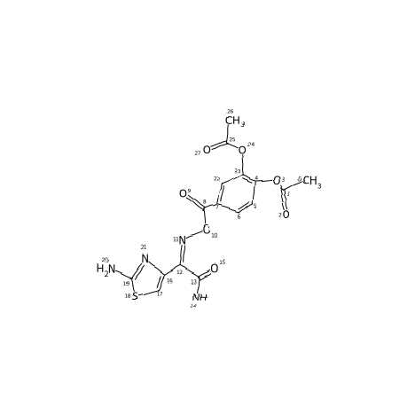 CC(=O)Oc1ccc(C(=O)ON=C(C([NH])=O)c2csc(N)n2)cc1OC(C)=O